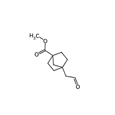 COC(=O)C12CCC(CC=O)(CC1)C2